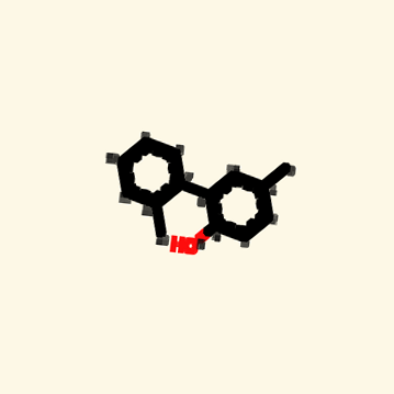 Cc1ccc(O)c(-c2ccccc2C)c1